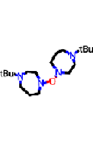 CC(C)(C)N1CCCN(ON2CCCN(C(C)(C)C)CC2)CC1